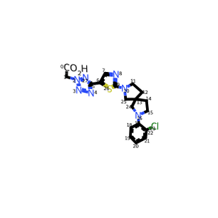 O=C(O)Cn1nnc(-c2cnc(N3CCC4(CCN(c5ccccc5Cl)C4)C3)s2)n1